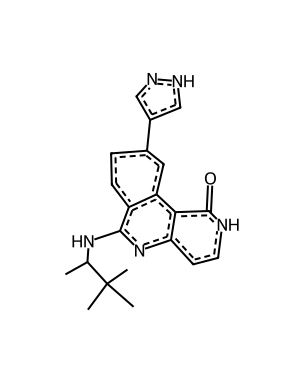 CC(Nc1nc2cc[nH]c(=O)c2c2cc(-c3cn[nH]c3)ccc12)C(C)(C)C